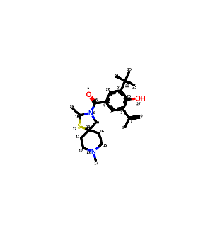 C=C(C)c1cc(C(=O)N2CC3(CCN(C)CC3)SC2C)cc(C(C)(C)C)c1O